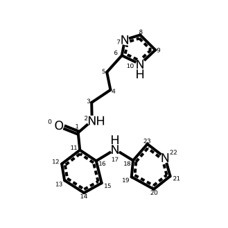 O=C(NCCCc1ncc[nH]1)c1ccccc1Nc1cccnc1